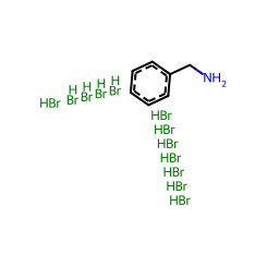 Br.Br.Br.Br.Br.Br.Br.Br.Br.Br.Br.Br.NCc1ccccc1